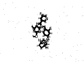 COc1nc(C)c2nc(-c3cncc(F)c3)n(Cc3ccc(O[Si@@H]4C[C@H]5CC[C@@H](C4)N5C)cc3F)c2n1